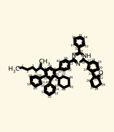 CCCCCC(C)c1cc(-c2ccc(C3=NC(c4ccc5oc6c(c5c4)C=CCC6)NC(c4ccccc4)=N3)cc2)c(C2CCCCC2)c(-c2ccccc2)c1-c1ccccc1